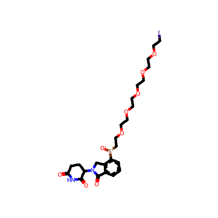 O=C1CCC(N2Cc3c(cccc3[S+]([O-])CCOCCOCCOCCOCCOCCI)C2=O)C(=O)N1